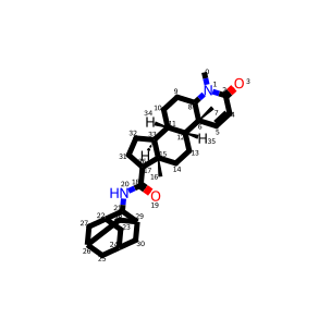 CN1C(=O)C=C[C@@]2(C)C1CC[C@@H]1[C@H]2CC[C@]2(C)C(C(=O)NC3C4CC5CC(C4)CC3C5)CC[C@@H]12